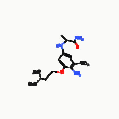 COC(CCOc1cc(NC(C)C(N)=O)cc([N+](=O)[O-])c1N)OC